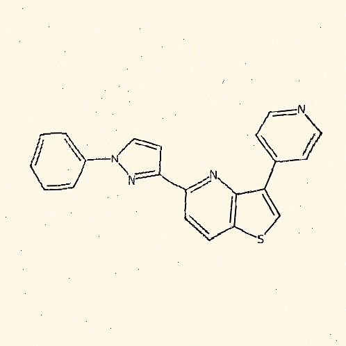 c1ccc(-n2ccc(-c3ccc4scc(-c5ccncc5)c4n3)n2)cc1